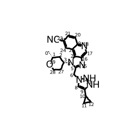 C[C@@H]1C[C@H](n2c(CN3C=C(C4CC4)NN3)nc3cnc4ccc(C#N)cc4c32)CCO1